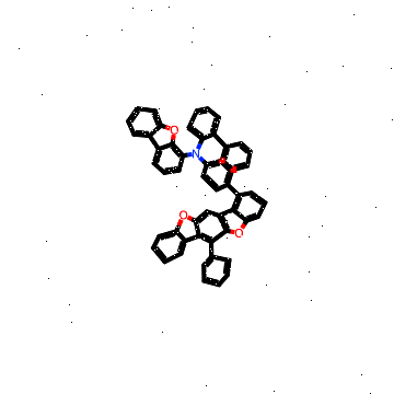 c1ccc(-c2ccccc2N(c2ccc(-c3cccc4oc5c(-c6ccccc6)c6c(cc5c34)oc3ccccc36)cc2)c2cccc3c2oc2ccccc23)cc1